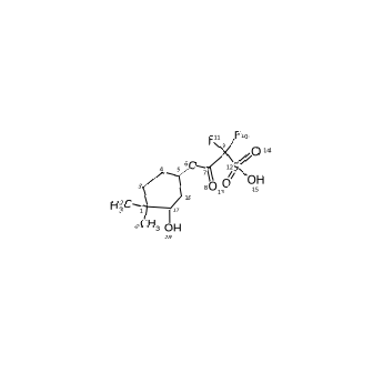 CC1(C)CCC(OC(=O)C(F)(F)S(=O)(=O)O)CC1O